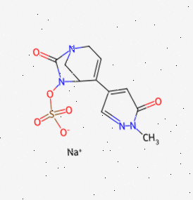 Cn1ncc(C2=CCN3CC2N(OS(=O)(=O)[O-])C3=O)cc1=O.[Na+]